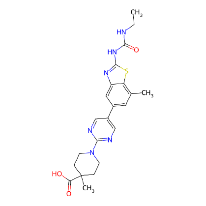 CCNC(=O)Nc1nc2cc(-c3cnc(N4CCC(C)(C(=O)O)CC4)nc3)cc(C)c2s1